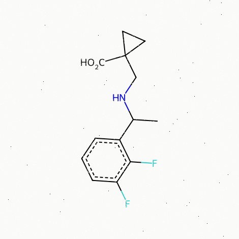 CC(NCC1(C(=O)O)CC1)c1cccc(F)c1F